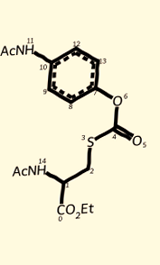 CCOC(=O)C(CSC(=O)Oc1ccc(NC(C)=O)cc1)NC(C)=O